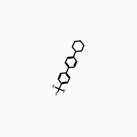 FC(F)(F)c1ccc(-c2ccc(C3CCCCC3)cc2)cc1